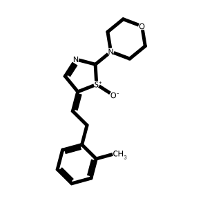 Cc1ccccc1CC=C1C=NC(N2CCOCC2)[S+]1[O-]